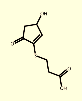 O=C(O)CCSC1=CC(O)CC1=O